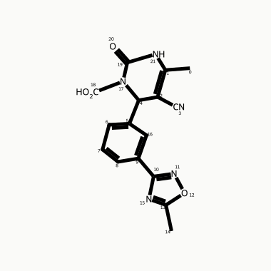 CC1=C(C#N)C(c2cccc(-c3noc(C)n3)c2)N(C(=O)O)C(=O)N1